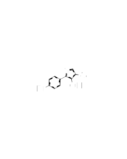 CCc1ccc(-c2scc(C(C)=O)c2O)cc1